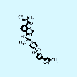 Cc1cc(-c2ccc(S(=O)(=O)N3CCN(C[C@H](C)Nc4ncnc5c(C(=O)N(C)CC(F)(F)F)cccc45)CC3)s2)on1